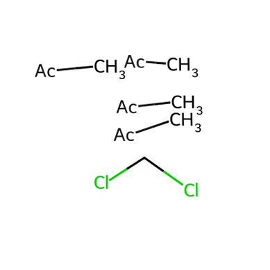 CC(C)=O.CC(C)=O.CC(C)=O.CC(C)=O.ClCCl